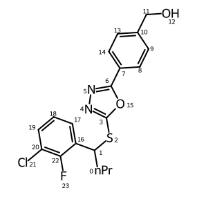 CCCC(Sc1nnc(-c2ccc(CO)cc2)o1)c1cccc(Cl)c1F